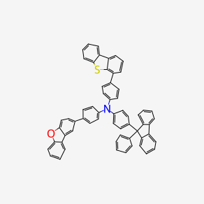 c1ccc(C2(c3ccc(N(c4ccc(-c5ccc6oc7ccccc7c6c5)cc4)c4ccc(-c5cccc6c5sc5ccccc56)cc4)cc3)c3ccccc3-c3ccccc32)cc1